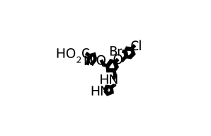 C[N+]1(C)CC(OCc2cc(CNCC3CCNC3)cc(OCc3ccc(Cl)cc3Br)c2)CC1C(=O)O